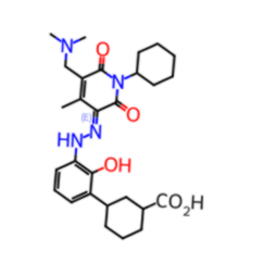 CC1=C(CN(C)C)C(=O)N(C2CCCCC2)C(=O)/C1=N/Nc1cccc(C2CCCC(C(=O)O)C2)c1O